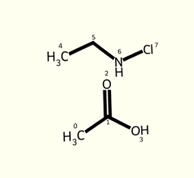 CC(=O)O.CCNCl